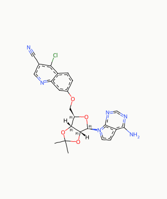 CC1(C)O[C@@H]2[C@H](O1)[C@@H](COc1ccc3c(Cl)c(C#N)cnc3c1)O[C@H]2n1ccc2c(N)ncnc21